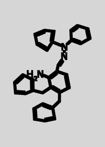 Nc1c(C=NN(c2ccccc2)c2ccccc2)ccc(Cc2ccccc2)c1Cc1ccccc1